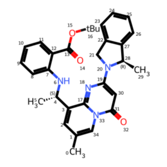 Cc1cc([C@H](C)Nc2ccccc2C(=O)OC(C)(C)C)c2nc(N3Cc4ccccc4[C@H]3C)cc(=O)n2c1